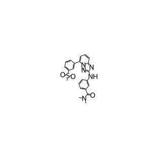 CN(C)C(=O)c1cccc(Nc2nc3cccc(-c4cccc(S(C)(=O)=O)c4)n3n2)c1